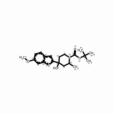 COc1ccc2cc(C3(O)CCN(C(=O)OC(C)(C)C)C(C)C3)sc2c1